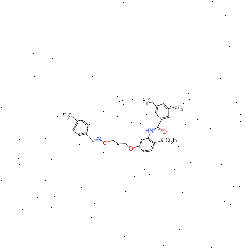 O=C(Nc1cc(OCCCON=Cc2ccc(C(F)(F)F)cc2)ccc1C(=O)O)c1cc(C(F)(F)F)cc(C(F)(F)F)c1